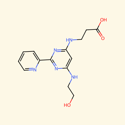 O=C(O)CCNc1cc(NCCO)nc(-c2ccccn2)n1